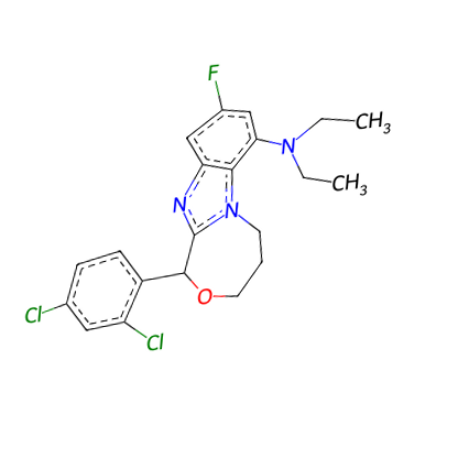 CCN(CC)c1cc(F)cc2nc3n(c12)CCCOC3c1ccc(Cl)cc1Cl